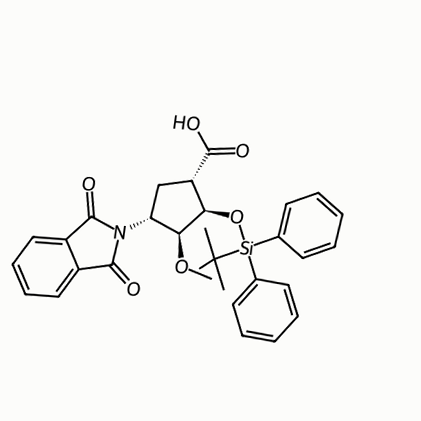 CO[C@@H]1[C@H](O[Si](c2ccccc2)(c2ccccc2)C(C)(C)C)[C@@H](C(=O)O)C[C@H]1N1C(=O)c2ccccc2C1=O